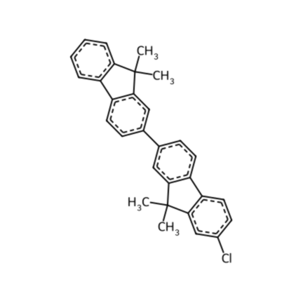 CC1(C)c2ccccc2-c2ccc(-c3ccc4c(c3)C(C)(C)c3cc(Cl)ccc3-4)cc21